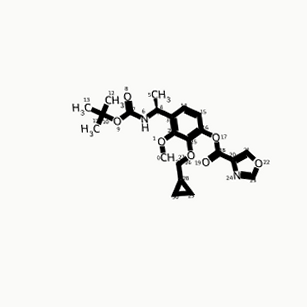 COc1c([C@H](C)NC(=O)OC(C)(C)C)ccc(OC(=O)c2cocn2)c1OCC1CC1